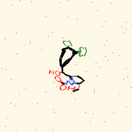 CC[C@H]1CC[C@@H]([C@@H](O)c2ccc(Cl)c(Cl)c2)N1C(=O)O